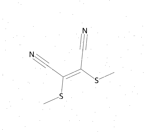 CS/C(C#N)=C(/C#N)SC